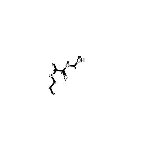 CCCSC(C)C(=O)OCO